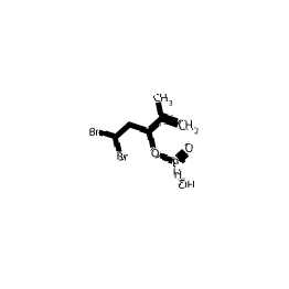 C=C(C)C(CC(Br)Br)O[PH](=O)O